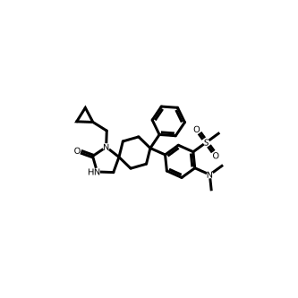 CN(C)c1ccc(C2(c3ccccc3)CCC3(CC2)CNC(=O)N3CC2CC2)cc1S(C)(=O)=O